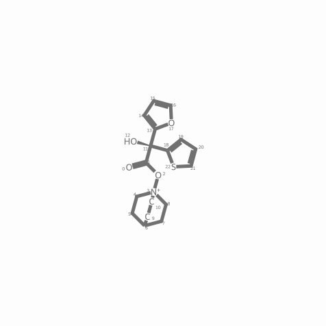 O=C(O[N+]12CCC(CC1)CC2)[C@](O)(c1ccco1)c1cccs1